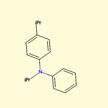 CC(C)c1ccc(N(c2ccccc2)C(C)C)cc1